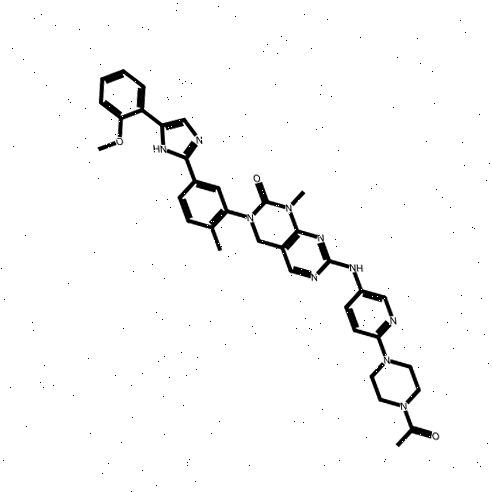 COc1ccccc1-c1cnc(-c2ccc(C)c(N3Cc4cnc(Nc5ccc(N6CCN(C(C)=O)CC6)nc5)nc4N(C)C3=O)c2)[nH]1